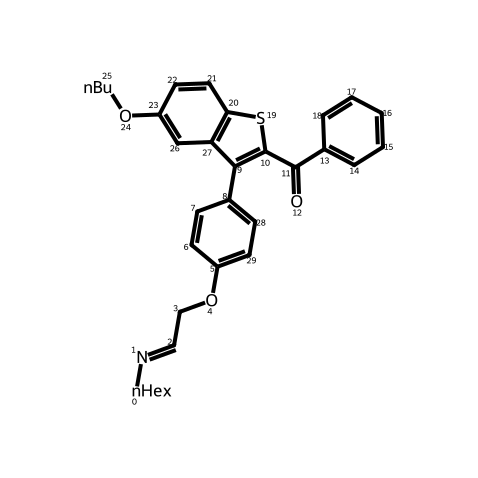 CCCCCCN=CCOc1ccc(-c2c(C(=O)c3ccccc3)sc3ccc(OCCCC)cc23)cc1